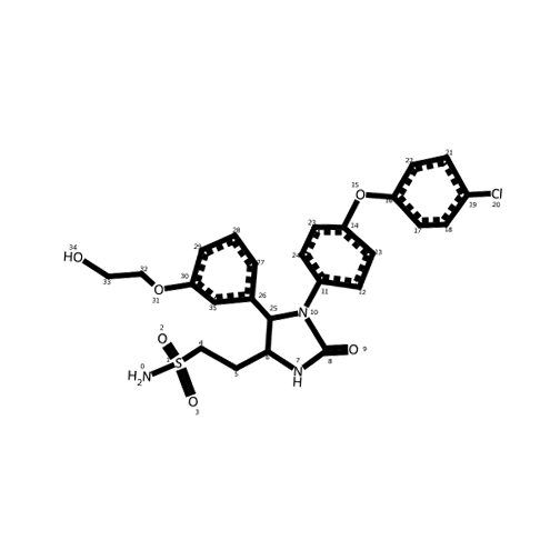 NS(=O)(=O)CCC1NC(=O)N(c2ccc(Oc3ccc(Cl)cc3)cc2)C1c1cccc(OCCO)c1